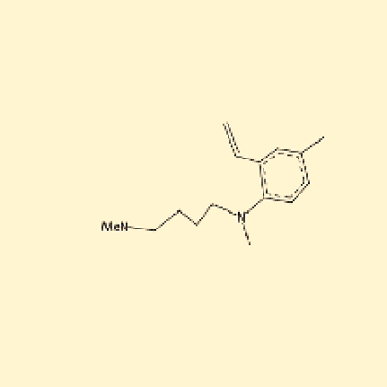 C=Cc1cc(C)ccc1N(C)CCCCNC